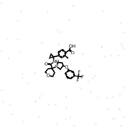 Cc1cc(C2(NC(=O)C3(N4CCC(Oc5cccc(C(F)(F)F)c5)C4)CCOCC3)CC2)ccc1C(=O)O